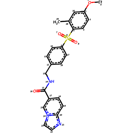 CCOc1ccc(S(=O)(=O)c2ccc(CNC(=O)c3ccc4nccn4c3)cc2)c(C)c1